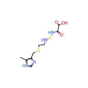 Cc1[nH]cnc1CSCCNSNC(=O)C(=O)O